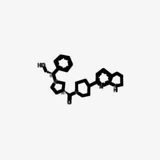 O=C([C@@H]1CCN([C@H](CO)c2ccccc2)C1)N1CCC(c2ccc3c(n2)NCCC3)CC1